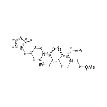 COCCN1CCN(C(CC(C)C)C(=O)N2CCC(Cc3nccn3C)CC2)C(=O)[C@@H]1CC(C)C